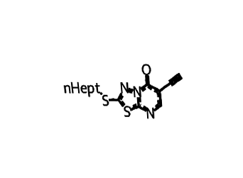 C#Cc1cnc2sc(SCCCCCCC)nn2c1=O